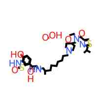 CC(CCCCCCCN1CCC2(CC1)CN(C(=O)c1csc(C(C)C)n1)CCO2)CNC[C@H](O)c1ccc(O)c2[nH]c(=O)sc12.O=CO